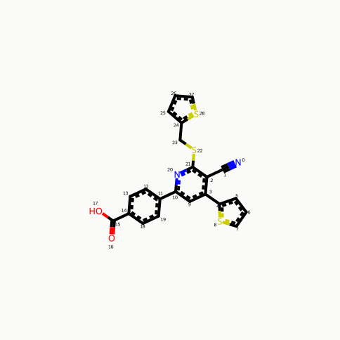 N#Cc1c(-c2cccs2)cc(-c2ccc(C(=O)O)cc2)nc1SCc1cccs1